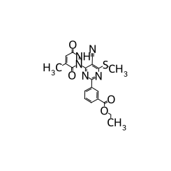 CCOC(=O)c1cccc(-c2nc(SC)c(C#N)c(-n3[nH]c(=O)cc(C)c3=O)n2)c1